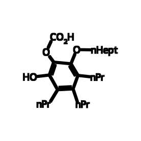 CCCCCCCOc1c(CCC)c(CCC)c(CCC)c(O)c1OC(=O)O